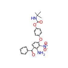 CC(C)(C)NC(=O)Oc1ccc(Oc2ccc(C(=O)c3ccccc3)c(N)c2[N+](=O)[O-])cc1